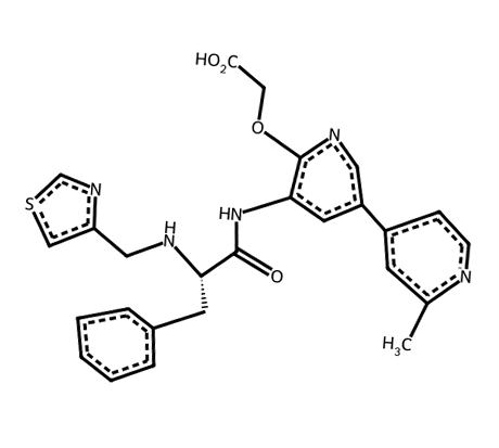 Cc1cc(-c2cnc(OCC(=O)O)c(NC(=O)[C@H](Cc3ccccc3)NCc3cscn3)c2)ccn1